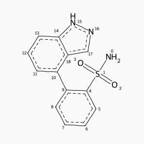 NS(=O)(=O)c1ccccc1-c1cccc2[nH]ncc12